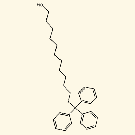 OCCCCCCCCCCCSC(c1ccccc1)(c1ccccc1)c1ccccc1